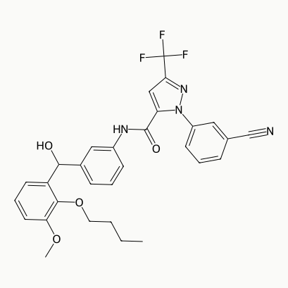 CCCCOc1c(OC)cccc1C(O)c1cccc(NC(=O)c2cc(C(F)(F)F)nn2-c2cccc(C#N)c2)c1